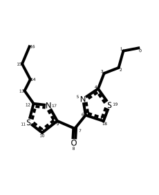 CCCCc1nc(C(=O)c2csc(CCCC)n2)cs1